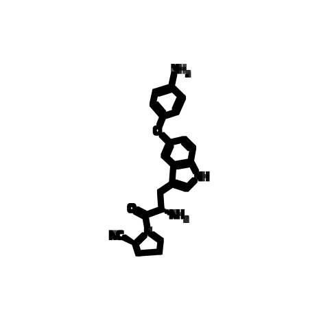 N#C[C@@H]1CCCN1C(=O)[C@@H](N)Cc1c[nH]c2ccc(Oc3ccc(N)cc3)cc12